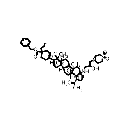 C=C(C)[C@@H]1CC[C@]2(NCC(O)CN3CCS(=O)(=O)CC3)CC[C@]3(C)[C@H](CC[C@@H]4[C@@]5(C)CC=C(C6=CCC(CF)(C(=O)OCc7ccccc7)CC6)C(C)(C)[C@@H]5CC[C@]43C)[C@@H]12